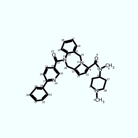 CN1CCC(N(C)C(=O)c2ccc3n2Cc2ccccc2N(C(=O)c2ccc(-c4ccccc4)nc2)C3)CC1